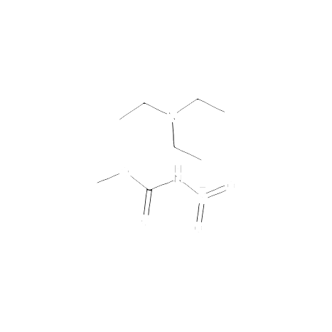 CCN(CC)CC.COC(=O)N[SH](=O)=O